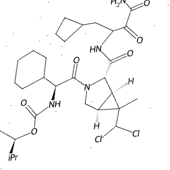 CC(C)[C@@H](C)OC(=O)N[C@H](C(=O)N1C[C@H]2[C@@H]([C@H]1C(=O)NC(CC1CCC1)C(=O)C(N)=O)C2(C)C(Cl)Cl)C1CCCCC1